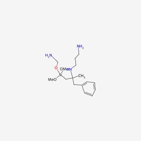 CO[Si](CC(C)(Cc1ccccc1)NCCCN)(OC)OCN